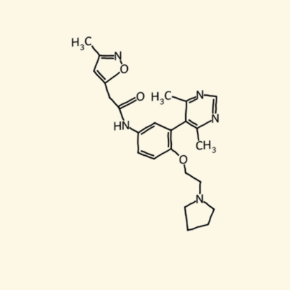 Cc1cc(CC(=O)Nc2ccc(OCCN3CCCC3)c(-c3c(C)ncnc3C)c2)on1